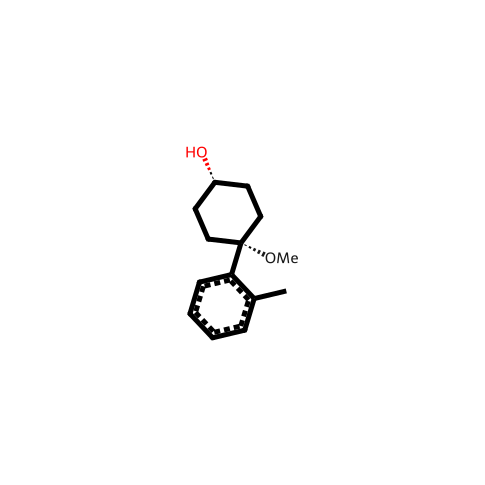 CO[C@]1(c2ccccc2C)CC[C@H](O)CC1